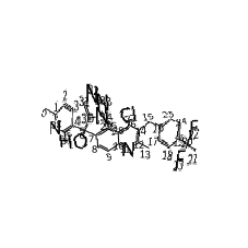 Cc1ccc(C(O)(c2ccc3nc(C)c(Cc4ccc(C(C)(F)F)cc4)c(Cl)c3c2)c2cnnn2C)c(C)n1